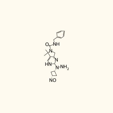 CC1(C)C2=CNC(N(N)[C@H]3C[C@@H](N=O)C3)N=C2CN1C(=O)NCc1ccccc1